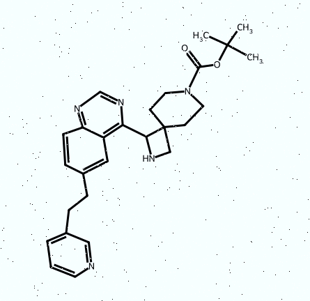 CC(C)(C)OC(=O)N1CCC2(CC1)CNC2c1ncnc2ccc(CCc3cccnc3)cc12